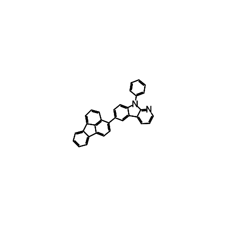 c1ccc(-n2c3ccc(-c4ccc5c6c(cccc46)-c4ccccc4-5)cc3c3cccnc32)cc1